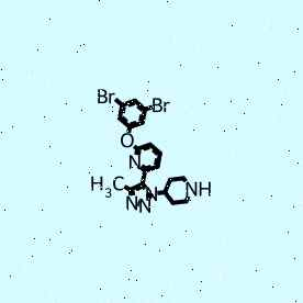 Cc1nnn(C2CCNCC2)c1-c1cccc(Oc2cc(Br)cc(Br)c2)n1